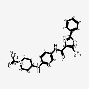 O=C(Nc1ccc(NC2CCN(C(=O)C(F)(F)F)CC2)nc1)c1nc(-c2ccccc2)oc1C(F)(F)F